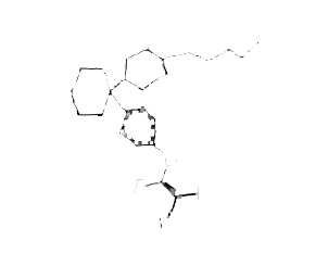 CCCCCC1CCC(C2(c3ccc(OC(F)=C(F)F)cc3)CCCCC2)CC1